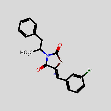 O=C(O)C(Cc1ccccc1)N1C(=O)S/C(=C\c2cccc(Br)c2)C1=O